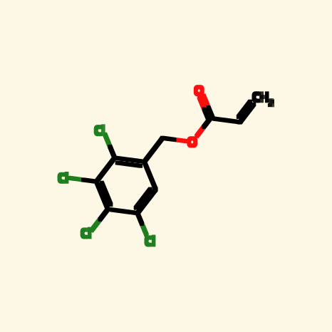 C=CC(=O)OCc1cc(Cl)c(Cl)c(Cl)c1Cl